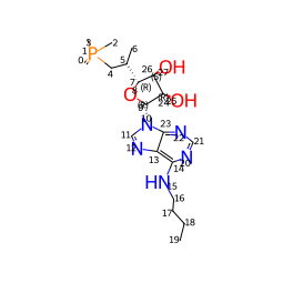 C=P(C)(C)CC(C)[C@H]1O[C@@H](n2cnc3c(NCCCC)ncnc32)[C@H](O)[C@@H]1O